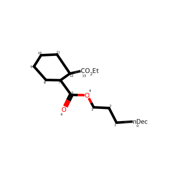 CCCCCCCCCCCCCOC(=O)C1CCCCC1C(=O)OCC